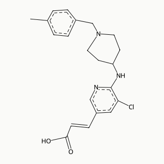 Cc1ccc(CN2CCC(Nc3ncc(C=CC(=O)O)cc3Cl)CC2)cc1